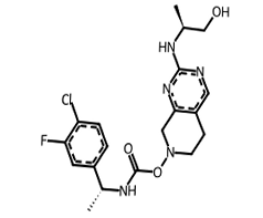 C[C@@H](CO)Nc1ncc2c(n1)CN(OC(=O)N[C@H](C)c1ccc(Cl)c(F)c1)CC2